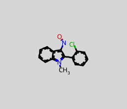 Cn1c(-c2ccccc2Cl)c(N=O)c2ccccc21